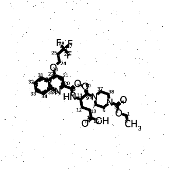 CCOC(=O)N1CCN(C(=O)C(CCC(=O)O)NC(=O)c2cc(OCCC(F)(F)F)c3ccccc3n2)CC1